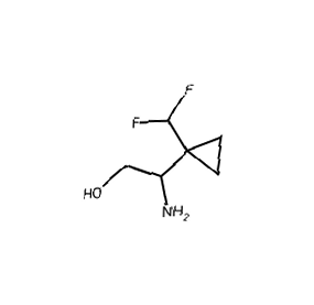 NC(CO)C1(C(F)F)CC1